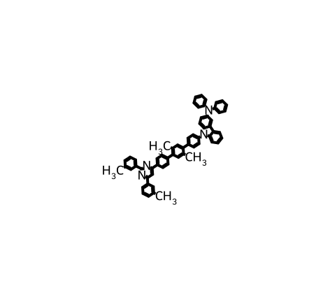 Cc1cccc(-c2cc(-c3ccc(-c4cc(C)c(-c5ccc(-n6c7ccccc7c7cc(N(c8ccccc8)c8ccccc8)ccc76)cc5)cc4C)cc3)nc(-c3cccc(C)c3)n2)c1